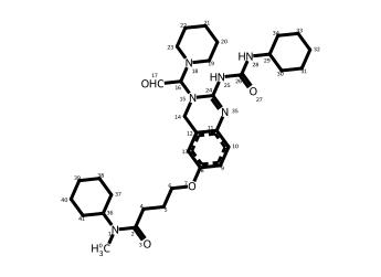 CN(C(=O)CCCOc1ccc2c(c1)CN(C(C=O)N1CCCCC1)C(NC(=O)NC1CCCCC1)=N2)C1CCCCC1